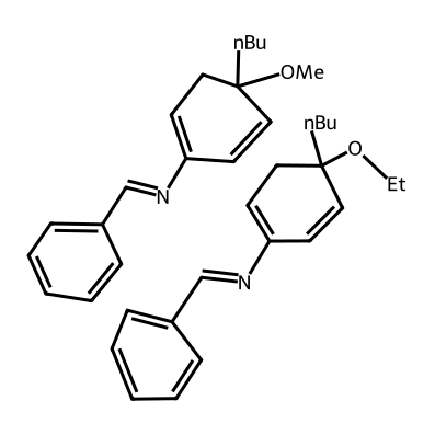 CCCCC1(OC)C=CC(N=Cc2ccccc2)=CC1.CCCCC1(OCC)C=CC(N=Cc2ccccc2)=CC1